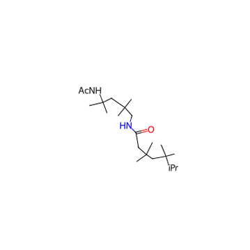 CC(=O)NC(C)(C)CC(C)(C)CNC(=O)CC(C)(C)CC(C)(C)C(C)C